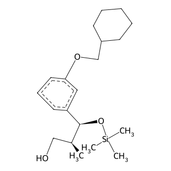 C[C@@H](CO)[C@H](O[Si](C)(C)C)c1cccc(OCC2CCCCC2)c1